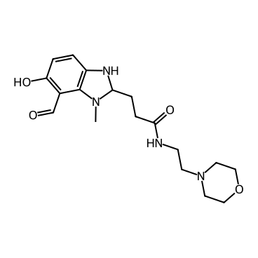 CN1c2c(ccc(O)c2C=O)NC1CCC(=O)NCCN1CCOCC1